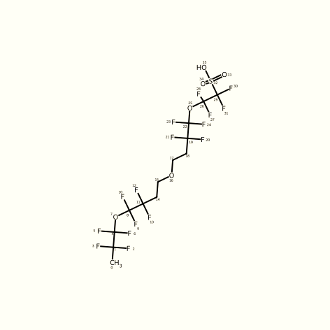 CC(F)(F)C(F)(F)OC(F)(F)C(F)(F)CCOCCC(F)(F)C(F)(F)OC(F)(F)C(F)(F)S(=O)(=O)O